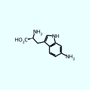 Nc1ccc2c(C[C@H](N)C(=O)O)c[nH]c2c1